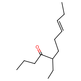 CCC=CCCC(CC)C(=O)CCC